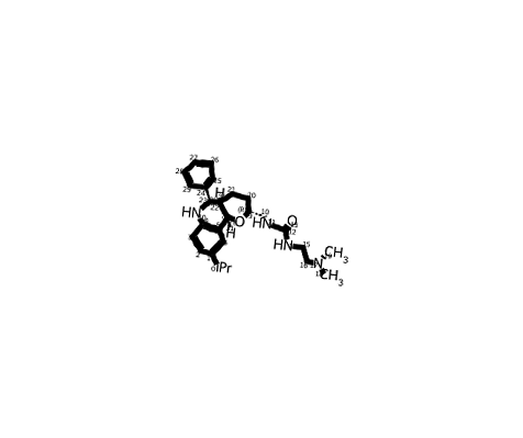 CC(C)c1ccc2c(c1)[C@H]1O[C@@H](CNC(=O)NCCN(C)C)CC[C@H]1[C@H](c1ccccc1)N2